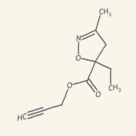 C#CCOC(=O)C1(CC)CC(C)=NO1